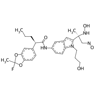 CCC[C@@H](C(=O)Nc1ccc2c(c1)cc([C@](C)(CN=O)NO)n2CCCO)c1ccc2c(c1)OC(C)(F)O2